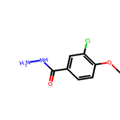 COc1ccc(C(=O)NN)cc1Cl